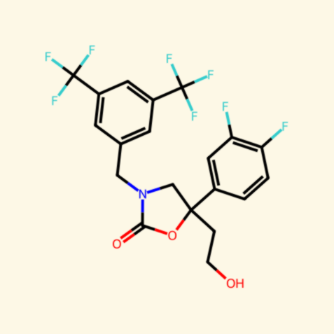 O=C1OC(CCO)(c2ccc(F)c(F)c2)CN1Cc1cc(C(F)(F)F)cc(C(F)(F)F)c1